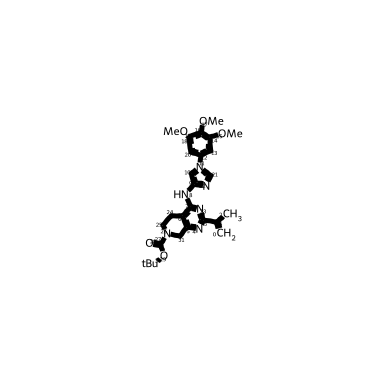 C=C(C)c1nc2c(c(Nc3cn(-c4cc(OC)c(OC)c(OC)c4)cn3)n1)CCN(C(=O)OC(C)(C)C)C2